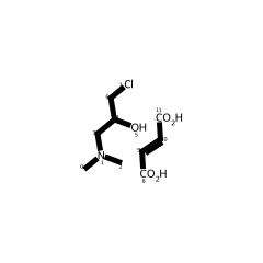 CN(C)CC(O)CCl.O=C(O)/C=C/C(=O)O